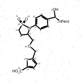 CCCCC[C@H](O)c1ccc(N2C(COCc3ccc(C(=O)O)s3)CCS2(=O)=O)cc1